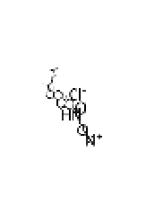 CC(C)CCC[C@@H](C)[C@H]1CCC2C3CC=C4CC(C(=O)NCCCOCC[N+](C)(C)C)CC[C@]4(C)C3CC[C@@]21C.[Cl-]